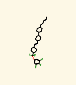 C/C=C/CCC1CCC(C2CCC(/C=C/C3CCC(C(F)(F)Oc4cc(F)c(F)c(F)c4)CC3)CC2)CC1